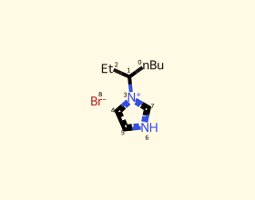 CCCCC(CC)[n+]1cc[nH]c1.[Br-]